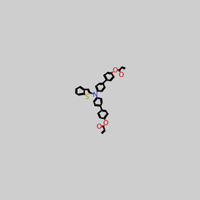 C=CC(=O)Oc1ccc(-c2ccc(N(c3ccc(-c4ccc(OC(=O)C=C)cc4)cc3)c3cc4ccccc4s3)cc2)cc1